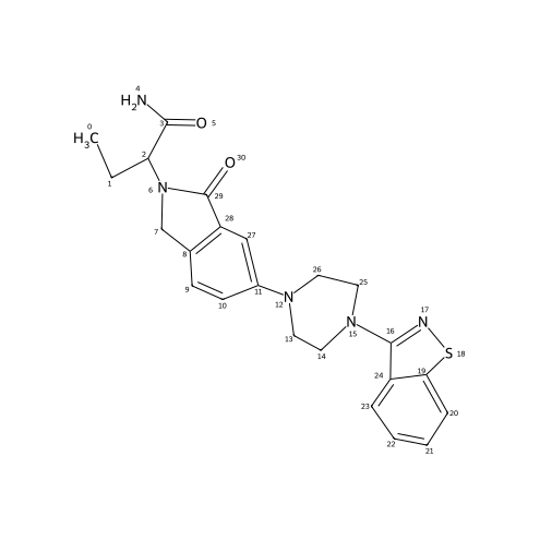 CCC(C(N)=O)N1Cc2ccc(N3CCN(c4nsc5ccccc45)CC3)cc2C1=O